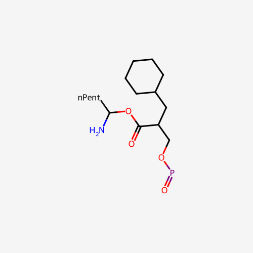 CCCCCC(N)OC(=O)C(COP=O)CC1CCCCC1